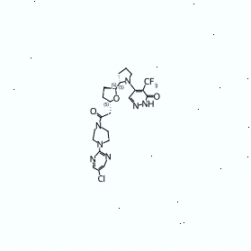 O=C(C[C@@H]1CC[C@@H]([C@@H]2CCCN2c2cn[nH]c(=O)c2C(F)(F)F)O1)N1CCN(c2ncc(Cl)cn2)CC1